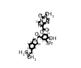 CC(C)c1cc(C(=O)N2Cc3ccc(CN(C)C)cc3C2)c(OC(=O)c2ncn3c(=O)n(C)nnc23)cc1O